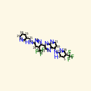 FC(F)(F)c1ccc(Nc2ccnc3nc(-c4nnc(NCc5cccnc5)cc4C(F)(F)F)cnc23)nc1